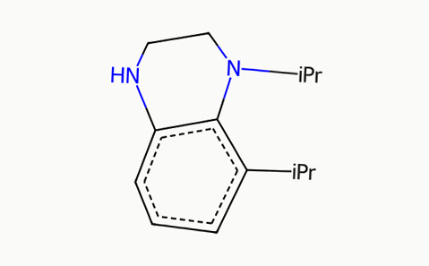 CC(C)c1cccc2c1N(C(C)C)CCN2